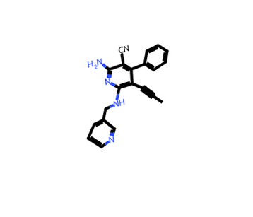 CC#Cc1c(NCc2cccnc2)nc(N)c(C#N)c1-c1ccccc1